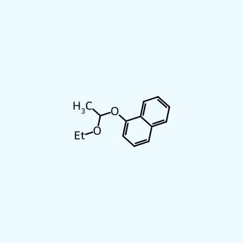 CCOC(C)Oc1cccc2ccccc12